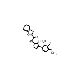 NCc1ccc(-c2csc(NC(=O)c3nc4ccccc4o3)c2C(=O)O)cc1F